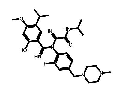 COc1cc(O)c(C(=N)N(C(=N)C(=O)NC(C)C)c2ccc(CN3CCN(C)CC3)cc2F)cc1C(C)C